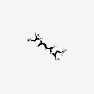 CC(CO)OC(=O)/C=C/C(=O)OC(C)CN=O